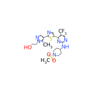 Cc1c(-c2ncc(-c3nc(NC4CCN(S(C)(=O)=O)CC4)ncc3C(F)(F)F)s2)cnn1CCO